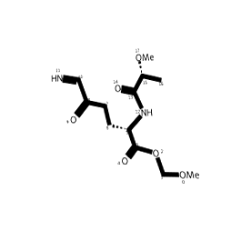 COCOC(=O)[C@H](CCC(=O)C=N)NC(=O)[C@@H](C)OC